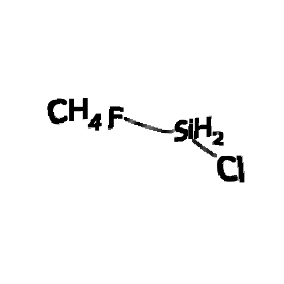 C.F[SiH2]Cl